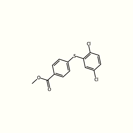 COC(=O)c1ccc(Sc2cc(Cl)ccc2Cl)cc1